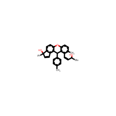 Cc1ccc(C2c3c(ccc4c3C=CC4(O)C(C)C)Oc3ccc(C)c(/C=C\C(O)C(C)(C)C)c32)cc1